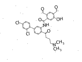 CN(C)CCCC(=O)c1ccc(-c2ccc(Cl)cc2Cl)cc1NC(=O)c1cc(O)c([C]=O)cc1[C]=O